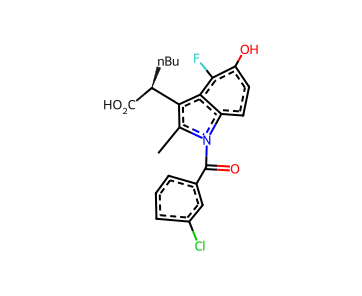 CCCC[C@H](C(=O)O)c1c(C)n(C(=O)c2cccc(Cl)c2)c2ccc(O)c(F)c12